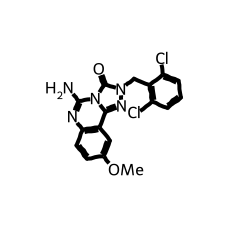 COc1ccc2nc(N)n3c(=O)n(Cc4c(Cl)cccc4Cl)nc3c2c1